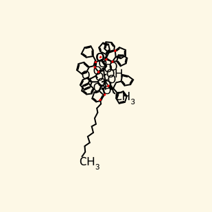 CCCCCCCCCCCCCCCC(=O)N(CCC)C(OC(C(=O)c1ccccc1)c1ccccc1)(OC(C(=O)c1ccccc1)c1ccccc1)C(O)(OC(C(=O)c1ccccc1)c1ccccc1)C(OC(C(=O)c1ccccc1)c1ccccc1)(OC(C(=O)c1ccccc1)c1ccccc1)OC(C(=O)c1ccccc1)c1ccccc1